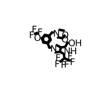 O=C(O)C1NC(C(C(F)(F)F)C(F)(F)F)C2CN(Cc3cc(CN4CCOCC4)cc(OC(F)(F)F)c3)CC12